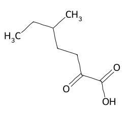 CCC(C)CCC(=O)C(=O)O